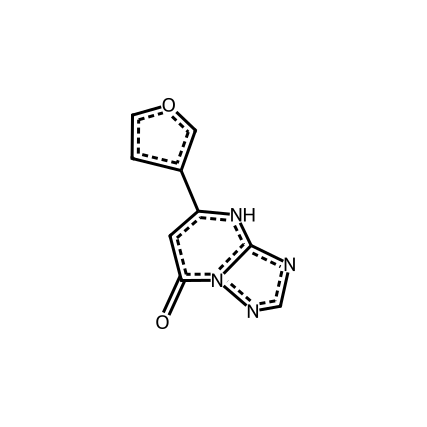 O=c1cc(-c2ccoc2)[nH]c2ncnn12